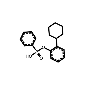 O=P(O)(Oc1ccccc1C1CCCCC1)c1ccccc1